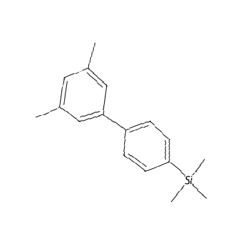 Cc1cc(C)cc(-c2ccc([Si](C)(C)C)cc2)c1